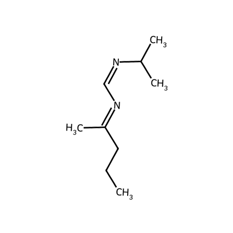 CCC/C(C)=N/C=N\C(C)C